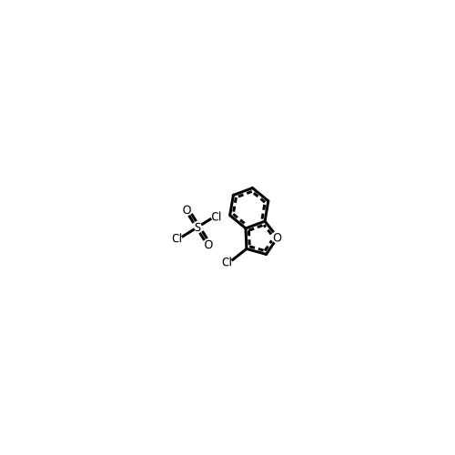 Clc1coc2ccccc12.O=S(=O)(Cl)Cl